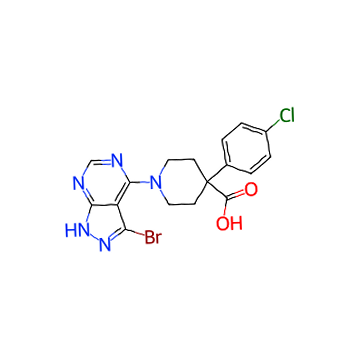 O=C(O)C1(c2ccc(Cl)cc2)CCN(c2ncnc3[nH]nc(Br)c23)CC1